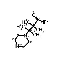 CC(C)C(=O)C(C)(C)C(C)(C)N1CCNCC1